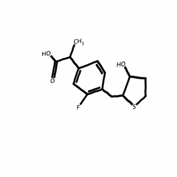 CC(C(=O)O)c1ccc(CC2SCCC2O)c(F)c1